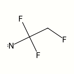 [N]C(F)(F)CF